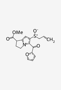 C=CC[S+]([O-])c1cc2n(c1C(=O)c1ccco1)CCC2C(=O)OC